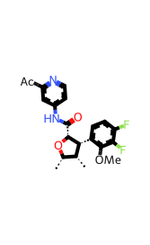 COc1c([C@@H]2[C@H](C)[C@H](C)O[C@@H]2C(=O)Nc2ccnc(C(C)=O)c2)ccc(F)c1F